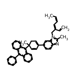 C=C/C(=C\C=C/C)Cn1c(C)nc2ccc(C3=CCC(C)(c4c5ccccc5c(-c5ccccc5)c5ccccc45)C=C3)cc21